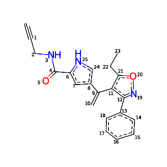 C#CCNC(=O)c1cc(C(=C)c2c(-c3ccccc3)noc2CC)c[nH]1